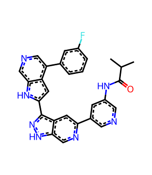 CC(C)C(=O)Nc1cncc(-c2cc3c(-c4cc5c(-c6cccc(F)c6)cncc5[nH]4)n[nH]c3cn2)c1